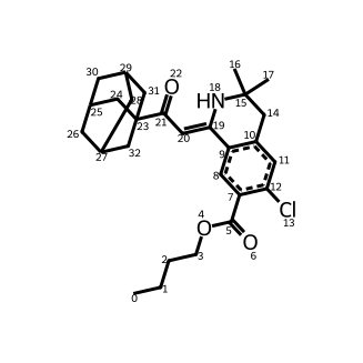 CCCCOC(=O)c1cc2c(cc1Cl)CC(C)(C)NC2=CC(=O)C12CC3CC(CC(C3)C1)C2